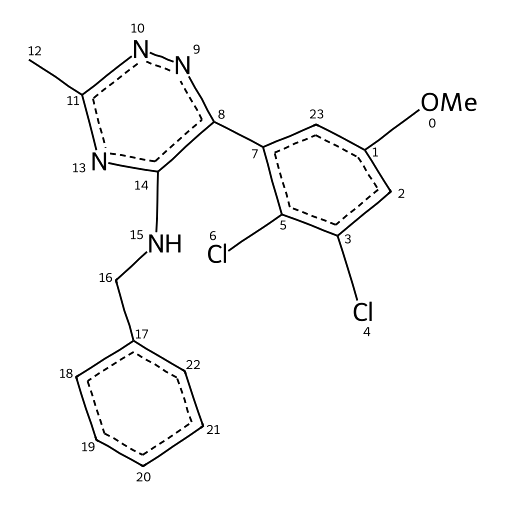 COc1cc(Cl)c(Cl)c(-c2nnc(C)nc2NCc2ccccc2)c1